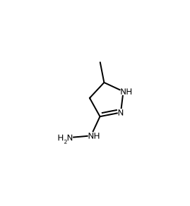 CC1CC(NN)=NN1